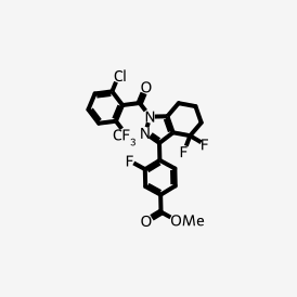 COC(=O)c1ccc(-c2nn(C(=O)c3c(Cl)cccc3C(F)(F)F)c3c2C(F)(F)CCC3)c(F)c1